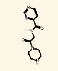 O=C(NCC(=O)N1CCNCC1)c1ccn[c]n1